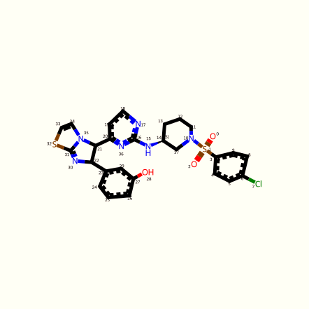 O=S(=O)(c1ccc(Cl)cc1)N1CCC[C@H](Nc2nccc(C3C(c4cccc(O)c4)N=C4SC=CN43)n2)C1